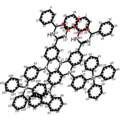 c1ccc(C2=NC(c3ccccc3)NC(c3ccc4c(c3)B3c5cc(C6=NC(c7ccccc7)NC(c7ccccc7)N6)ccc5N(c5cccc([Si](c6ccccc6)(c6ccccc6)c6ccccc6)c5)c5cc(-n6c7ccccc7c7ccccc76)cc(c53)N4c3cccc([Si](c4ccccc4)(c4ccccc4)c4ccccc4)c3)=N2)cc1